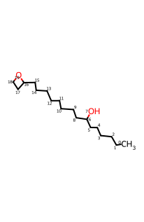 CCCCCCC(O)CCCCCCCCC1CCO1